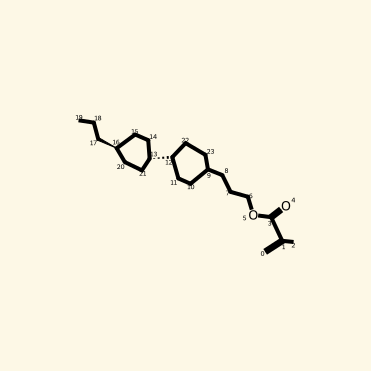 C=C(C)C(=O)OCCCC1CCC([C@H]2CC[C@H](CCC)CC2)CC1